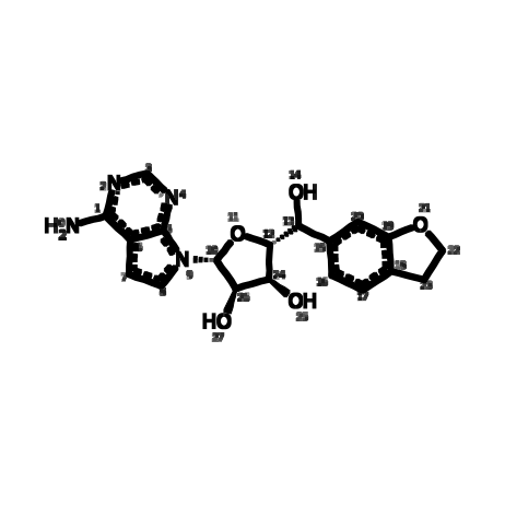 Nc1ncnc2c1ccn2[C@@H]1O[C@H](C(O)c2ccc3c(c2)OCC3)[C@@H](O)[C@H]1O